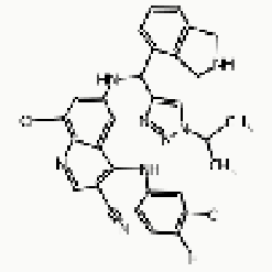 CC(C)n1cc(C(Nc2cc(Cl)c3ncc(C#N)c(Nc4ccc(F)c(Cl)c4)c3c2)c2cccc3c2CNC3)nn1